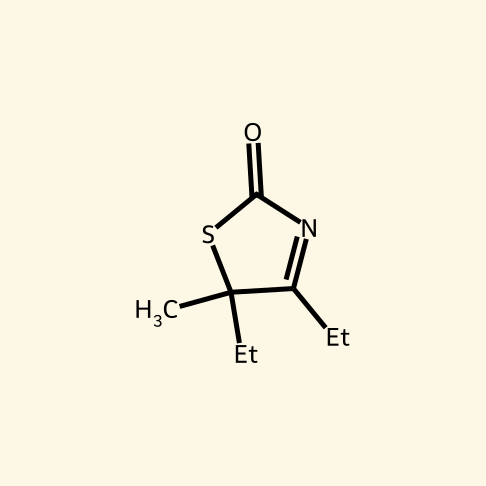 CCC1=NC(=O)SC1(C)CC